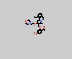 CCc1cccc(CC)c1-c1cc(OCCN2CCOCC2)c(COc2cc(OC)ccc2C(C)=O)c(C)n1